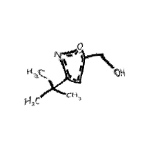 CC(C)(C)c1cc(CO)on1